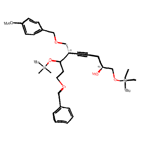 COc1ccc(COC[C@H](C#CC[C@H](O)CO[Si](C)(C)C(C)(C)C)C(CCOCc2ccccc2)O[Si](C)(C)C(C)(C)C)cc1